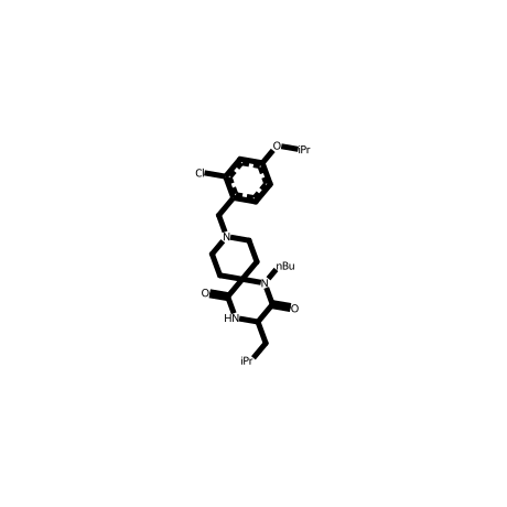 CCCCN1C(=O)C(CC(C)C)NC(=O)C12CCN(Cc1ccc(OC(C)C)cc1Cl)CC2